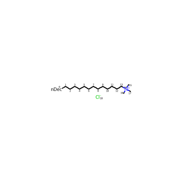 CCCCCCCCCCCCCCCCCCCCCCC[N+](C)(C)C.[Cl-]